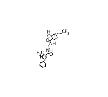 CC1CN(CCC(F)(F)F)CCC1C(=O)NCCNC(=O)c1cn(-c2ccccc2)nc1C(F)(F)F